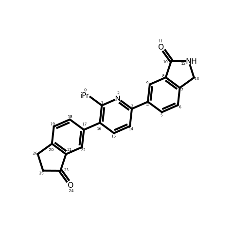 CC(C)c1nc(-c2ccc3c(c2)C(=O)NC3)ccc1-c1ccc2c(c1)C(=O)CC2